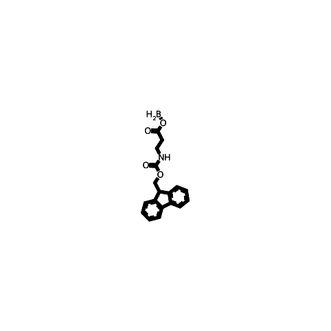 BOC(=O)CCNC(=O)OCC1c2ccccc2-c2ccccc21